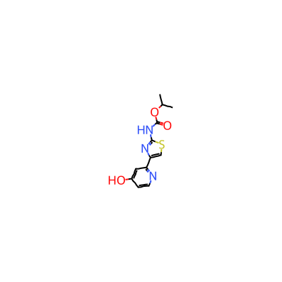 CC(C)OC(=O)Nc1nc(-c2cc(O)ccn2)cs1